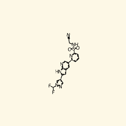 N#CCNS(=O)(=O)c1cccc(-c2cnc3[nH]c(-c4cnn(C(F)F)c4)cc3c2)n1